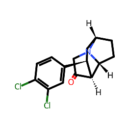 O=C1CN2[C@H]3CC[C@@H]2[C@@H]1[C@@H](c1ccc(Cl)c(Cl)c1)C3